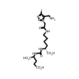 NCc1c(I)nnn1CC(=O)NCCCC[C@@H](NC(=O)NC(CCC(=O)O)C(=O)O)C(=O)O